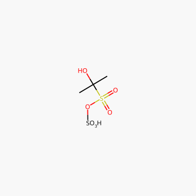 CC(C)(O)S(=O)(=O)OS(=O)(=O)O